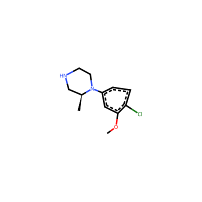 COc1cc(N2CCNC[C@@H]2C)ccc1Cl